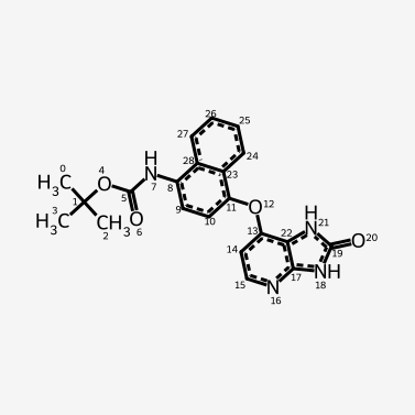 CC(C)(C)OC(=O)Nc1ccc(Oc2ccnc3[nH]c(=O)[nH]c23)c2ccccc12